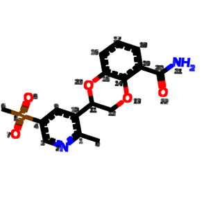 Cc1ncc(S(C)(=O)=O)cc1C1COc2c(cccc2C(N)=O)O1